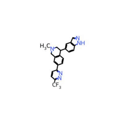 CN1Cc2cc(-c3ccc(C(F)(F)F)nn3)ccc2C(c2ccc3[nH]ncc3c2)C1